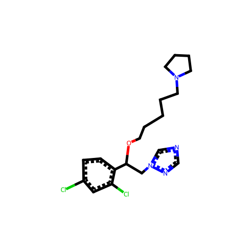 Clc1ccc(C(Cn2cncn2)OCCCCCN2CCCC2)c(Cl)c1